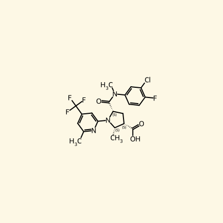 Cc1cc(C(F)(F)F)cc(N2[C@H](C(=O)N(C)c3ccc(F)c(Cl)c3)C[C@H](C(=O)O)[C@@H]2C)n1